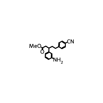 COC(=O)CC(CCc1ccc(C#N)cc1)c1cccc(N)c1